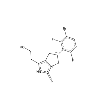 OCCc1[nH]c(=S)n2c1C[C@H](c1c(F)ccc(Br)c1F)C2